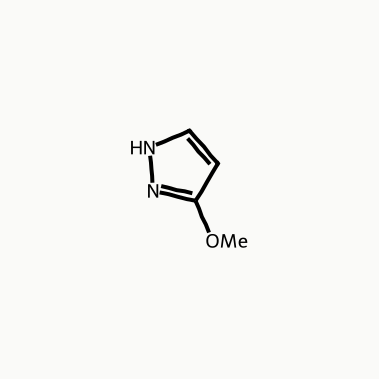 [CH2]Oc1cc[nH]n1